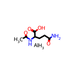 CC(=O)NC(CCC(N)=O)C(=O)O.[AlH3]